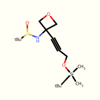 CC(C)(C)[S+]([O-])NC1(C#CCO[Si](C)(C)C(C)(C)C)COC1